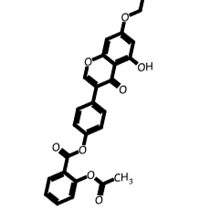 CCCOc1cc(O)c2c(=O)c(-c3ccc(OC(=O)c4ccccc4OC(C)=O)cc3)coc2c1